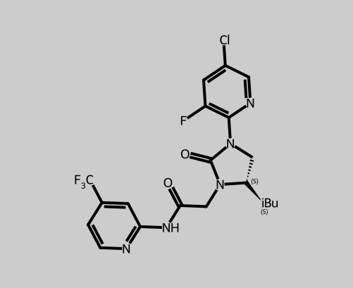 CC[C@H](C)[C@H]1CN(c2ncc(Cl)cc2F)C(=O)N1CC(=O)Nc1cc(C(F)(F)F)ccn1